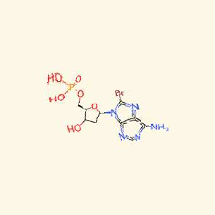 Nc1ncnc2c1nc(Br)n2[C@H]1CC(O)[C@@H](COP(=O)(O)O)O1